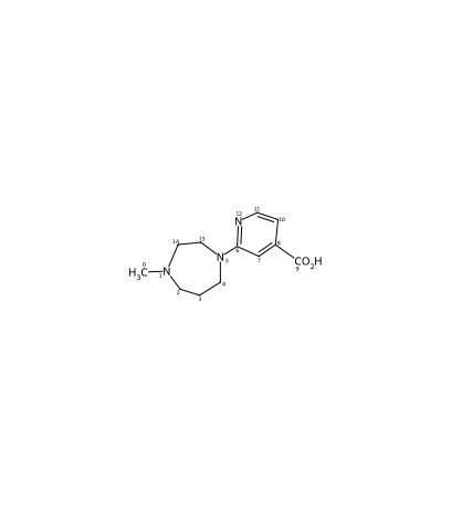 CN1CCCN(c2cc(C(=O)O)ccn2)CC1